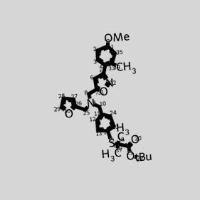 COc1ccc(-c2cc(CN(Cc3ccc(SC(C)(C)C(=O)OC(C)(C)C)cc3)Cc3ccco3)on2)c(C)c1